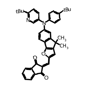 CC(C)(C)c1ccc(N(c2ccc(C(C)(C)C)nc2)c2ccc3c(c2)C(C)(C)c2cc(C=C4C(=O)c5ccccc5C4=O)oc2-3)cc1